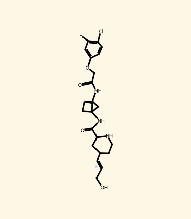 O=C(COc1ccc(Cl)c(F)c1)NC1CC2(NC(=O)C3CC(/C=C/CO)CCN3)CC1C2